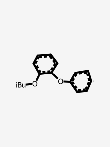 CCC(C)Oc1ccccc1Oc1cc[c]cc1